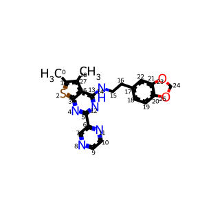 Cc1sc2nc(-c3cnccn3)nc(NCCc3ccc4c(c3)OCO4)c2c1C